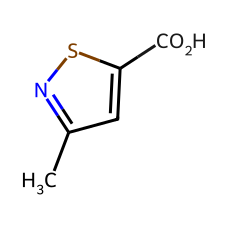 Cc1cc(C(=O)O)sn1